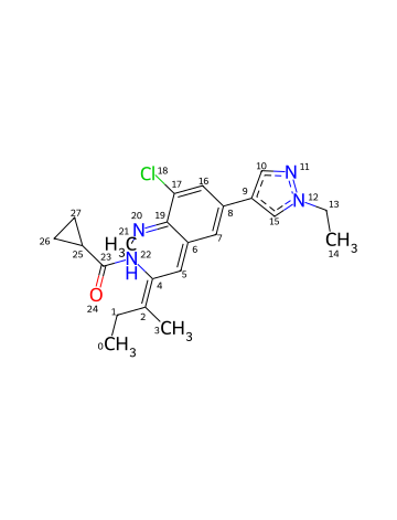 CC/C(C)=C(/C=C1/C=C(c2cnn(CC)c2)C=C(Cl)/C1=N/C)NC(=O)C1CC1